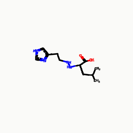 CC(C)CC(NNCCc1c[nH]cn1)C(=O)O